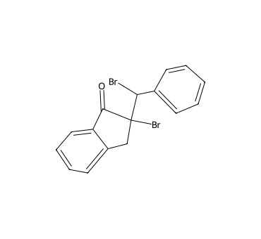 O=C1c2ccccc2CC1(Br)C(Br)c1ccccc1